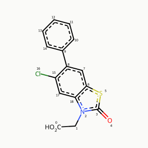 O=C(O)Cn1c(=O)sc2cc(-c3ccccc3)c(Cl)cc21